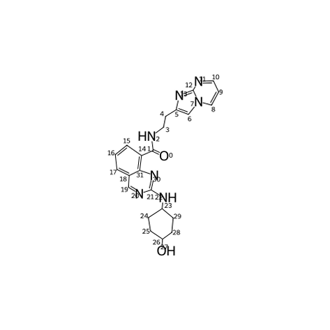 O=C(NCCc1cn2cccnc2n1)c1cccc2cnc(NC3CCC(O)CC3)nc12